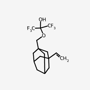 C=CC12CC3CC(C1)CC(COC(O)(C(F)(F)F)C(F)(F)F)(C3)C2